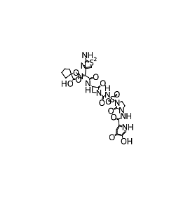 Nc1nc(C(=NOC2(C(=O)O)CCCC2)C(=O)N[C@H]2CN(C(=O)NS(=O)(=O)N3CCN(NC(=O)c4cc(=O)c(O)c[nH]4)C3=O)C2=O)cs1